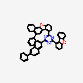 c1ccc(-c2ccc3cc(-c4nc(-c5cccc6oc7ccccc7c56)nc(-c5cccc6oc7c8ccccc8c(-c8ccccc8)cc7c56)n4)ccc3c2)cc1